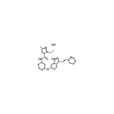 CCn1nc(C)cc1C(=O)Nc1cccc(Oc2ccc3c(/C=C/c4ccccn4)n[nH]c3c2)c1.Cl